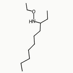 CCCCCCCC(CC)NOCC